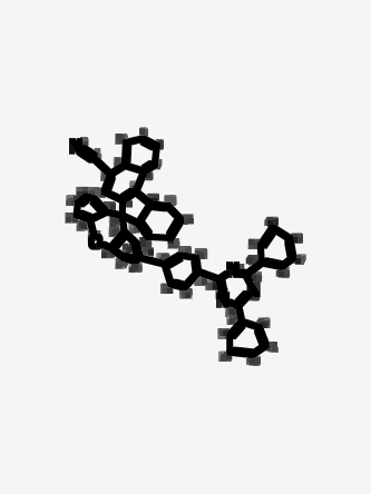 N#Cc1cc2c(c3ccccc13)-c1ccccc1C21c2ccccc2Oc2ccc(-c3ccc(-c4nc(-c5ccccc5)nc(-c5ccccc5)n4)cc3)cc21